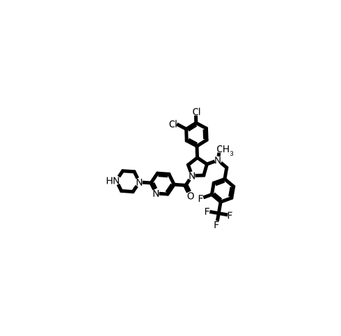 CN(Cc1ccc(C(F)(F)F)c(F)c1)C1CN(C(=O)c2ccc(N3CCNCC3)nc2)CC1c1ccc(Cl)c(Cl)c1